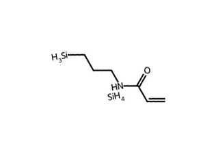 C=CC(=O)NCCC[SiH3].[SiH4]